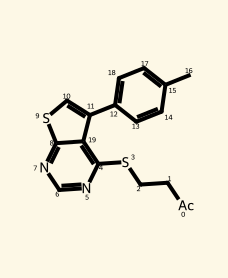 CC(=O)CCSc1ncnc2scc(-c3ccc(C)cc3)c12